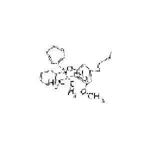 COc1cc(C=CI)cc(O[Si](c2ccccc2)(c2ccccc2)C(C)(C)C)c1